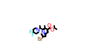 Cc1c(C(=O)OC(C)C)cc2cc(Br)cn2c1C(C)N1CCC(F)(F)CC1